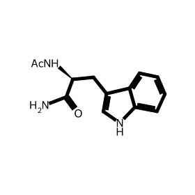 CC(=O)N[C@@H](Cc1c[nH]c2ccccc12)C(N)=O